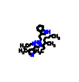 C=C/C=N\C(=C/N(NCCc1c[nH]c2ccccc12)/C(=C\C)C(C)CCCCC)c1cncc(C)c1